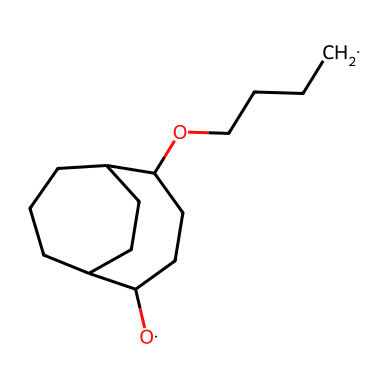 [CH2]CCCOC1CCC([O])C2CCCC1CC2